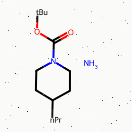 CCCC1CCN(C(=O)OC(C)(C)C)CC1.N